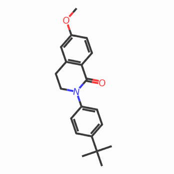 COc1ccc2c(c1)CCN(c1ccc(C(C)(C)C)cc1)C2=O